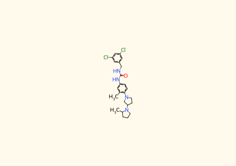 Cc1cc(NC(=O)NCc2cc(Cl)cc(Cl)c2)ccc1N1CCC(N2CCCC2C)C1